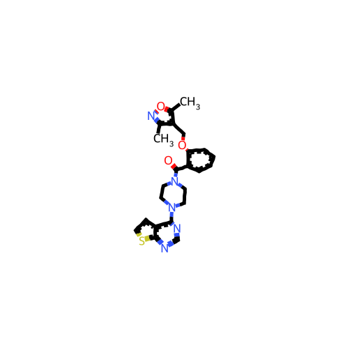 Cc1noc(C)c1COc1ccccc1C(=O)N1CCN(c2ncnc3sccc23)CC1